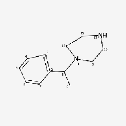 C[C](c1ccccc1)N1CCNCC1